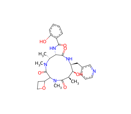 C[C@@H]1[C@H](NC(=O)c2ccccc2O)C(=O)N[C@@H](Cc2cccnc2)[C@@H](O)[C@@H](C)C(=O)N(C)C(C2CCO2)C(=O)N1C